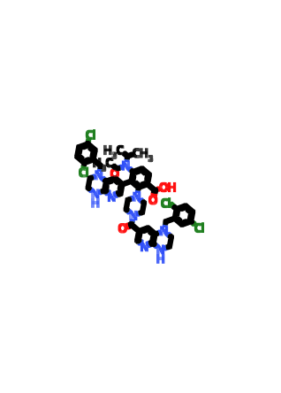 CC(=O)N(c1ccc(C(=O)O)c(N2CCN(C(=O)c3cnc4c(c3)N(Cc3cc(Cl)ccc3Cl)CCN4)CC2)c1-c1cnc2c(c1)N(Cc1cc(Cl)ccc1Cl)CCN2)C(C)C